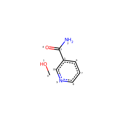 CO.NC(=O)c1cccnc1